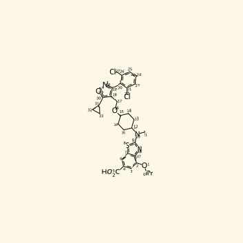 CC(C)Oc1cc(C(=O)O)cc2sc(N(C)C3CCC(OCc4c(-c5c(Cl)cccc5Cl)noc4C4CC4)CC3)nc12